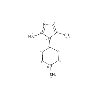 Cc1cnc(C)n1C1CCN(C)CC1